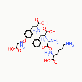 NCC(=O)O.NCC(=O)O.NCCCC[C@H](N)C(=O)O.N[C@@H](Cc1ccc(O)cc1)C(=O)O.N[C@@H](Cc1ccccc1)C(=O)O